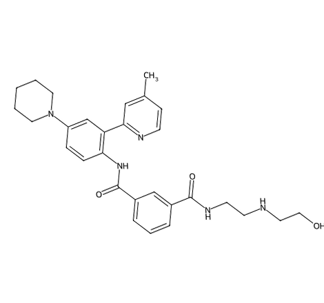 Cc1ccnc(-c2cc(N3CCCCC3)ccc2NC(=O)c2cccc(C(=O)NCCNCCO)c2)c1